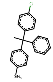 CC(c1ccccc1)(c1ccc([SiH3])cc1)c1ccc(Cl)cc1